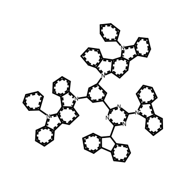 c1ccc(-n2c3ccccc3c3ccc4c(c5ccccc5n4-c4cc(-c5nc(C6c7ccccc7-c7ccccc76)nc(-n6c7ccccc7c7ccccc76)n5)cc(-n5c6ccccc6c6c5ccc5c7ccccc7n(-c7ccccc7)c56)c4)c32)cc1